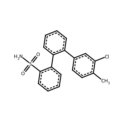 Cc1ccc(-c2ccccc2-c2ccccc2S(N)(=O)=O)cc1Cl